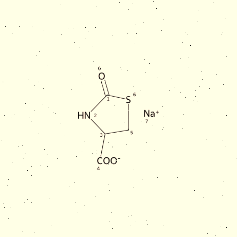 O=C1NC(C(=O)[O-])CS1.[Na+]